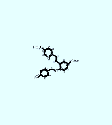 CSc1ccc(OCc2ccc(C(C)C)cc2)c(/C=C/c2ccc(C(=O)O)cn2)c1